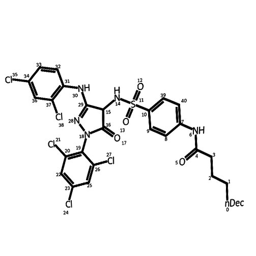 CCCCCCCCCCCCCC(=O)Nc1ccc(S(=O)(=O)NC2C(=O)N(c3c(Cl)cc(Cl)cc3Cl)N=C2Nc2ccc(Cl)cc2Cl)cc1